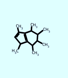 CC1=CC(C)C2=C1C(C)C(C)C(C)C2C